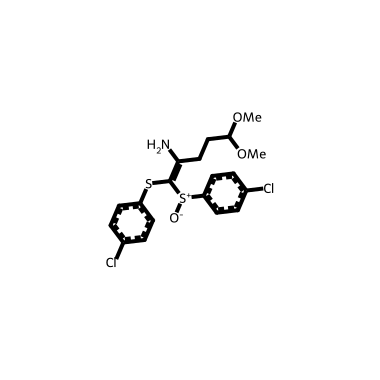 COC(CCC(N)=C(Sc1ccc(Cl)cc1)[S+]([O-])c1ccc(Cl)cc1)OC